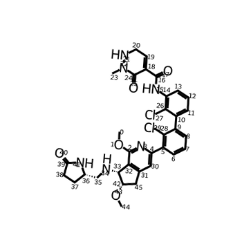 COc1nc(-c2cccc(-c3cccc(NC(=O)C4=CCNN(C)C4=O)c3Cl)c2Cl)cc2c1[C@@H](NC[C@@H]1CCC(=O)N1)[C@@H](OC)C2